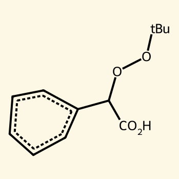 CC(C)(C)OOC(C(=O)O)c1ccccc1